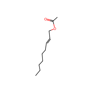 CCCCCC/C=C/COC(C)=O